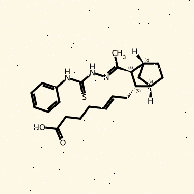 CC(=NNC(=S)Nc1ccccc1)[C@H]1[C@@H]2CC[C@@H](C2)[C@@H]1CC=CCCCC(=O)O